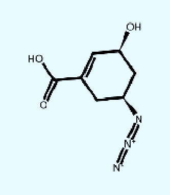 [N-]=[N+]=N[C@H]1CC(C(=O)O)=C[C@@H](O)C1